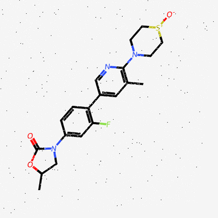 Cc1cc(-c2ccc(N3CC(C)OC3=O)cc2F)cnc1N1CC[S+]([O-])CC1